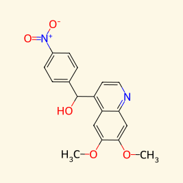 COc1cc2nccc(C(O)c3ccc([N+](=O)[O-])cc3)c2cc1OC